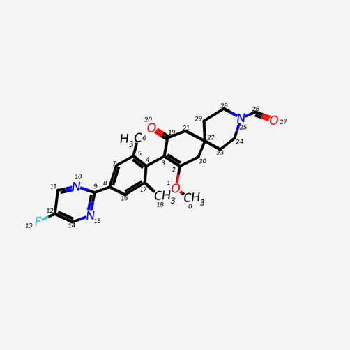 COC1=C(c2c(C)cc(-c3ncc(F)cn3)cc2C)C(=O)CC2(CCN(C=O)CC2)C1